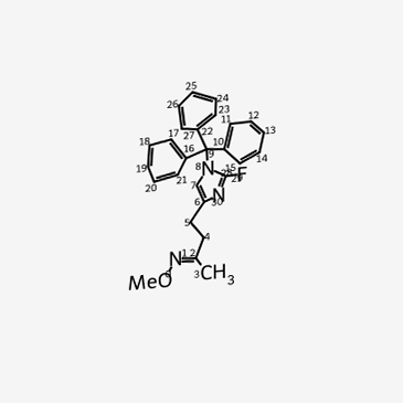 CON=C(C)CCc1cn(C(c2ccccc2)(c2ccccc2)c2ccccc2)c(F)n1